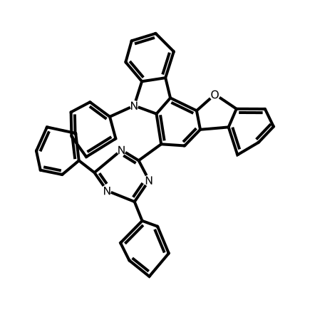 c1ccc(-c2nc(-c3ccccc3)nc(-c3cc4c5ccccc5oc4c4c5ccccc5n(-c5ccccc5)c34)n2)cc1